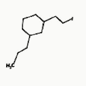 CCCC1CCCC(CCI)C1